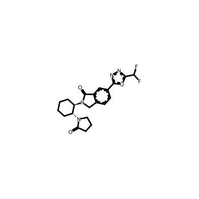 O=C1CCCN1[C@@H]1CCCC[C@H]1N1Cc2ccc(-c3nnc(C(F)F)o3)cc2C1=O